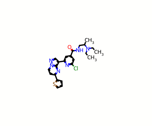 CCN(CC)C(C)CNC(=O)c1cc(Cl)nc(-c2cnn3ccc(-c4cccs4)nc23)c1